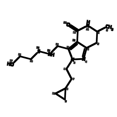 CC1Cc2nn(CCC3CC3)c(CNSCCO)c2C(=O)N1